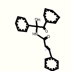 O=C(/C=C/c1ccccc1)NC(O)(C(=O)c1ccccc1)c1ccccc1